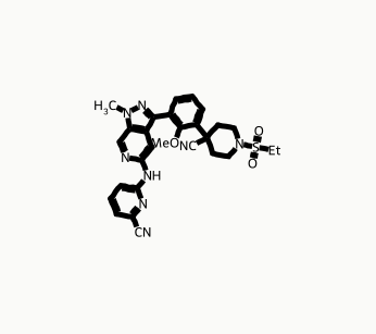 CCS(=O)(=O)N1CCC(C#N)(c2cccc(-c3nn(C)c4cnc(Nc5cccc(C#N)n5)cc34)c2OC)CC1